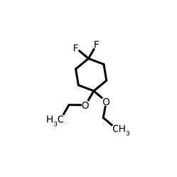 CCOC1(OCC)CCC(F)(F)CC1